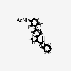 CC(=O)Nc1ccc(F)c(-c2cn3cnc(-c4nc5ccccc5[nH]4)c3cn2)c1F